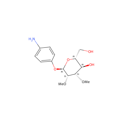 CO[C@@H]1[C@@H](Oc2ccc(N)cc2)O[C@H](CO)[C@@H](O)[C@@H]1OC